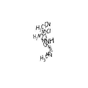 Cc1ccncc1-c1nc(N)c2cnc(NC(=O)[C@H]3C[C@@H]3c3cnn(C)c3)cc2c1Cl